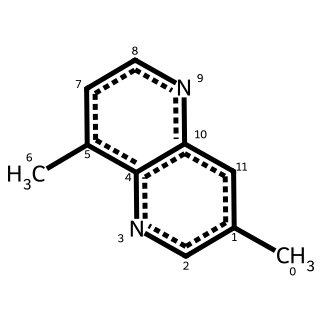 Cc1cnc2c(C)ccnc2c1